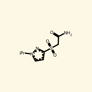 CC(C)n1ccc(S(=O)(=O)CC(N)=O)n1